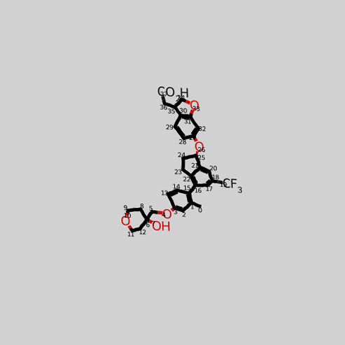 Cc1cc(OCC2(O)CCOCC2)ccc1-c1cc(C(F)(F)F)cc2c1CC[C@H]2Oc1ccc2c(c1)OCC2CC(=O)O